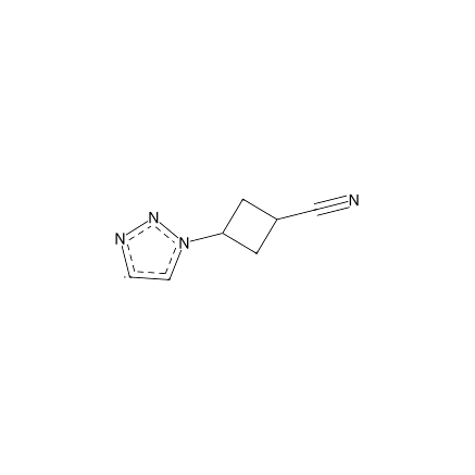 N#CC1CC(n2c[c]nn2)C1